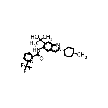 CC(C)(O)c1cc2nn([C@H]3CC[C@H](C)CC3)cc2cc1NC(=O)c1cccc(C(F)(F)F)n1